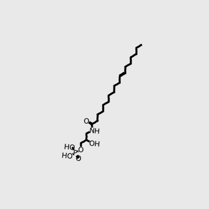 CCCCCC/C=C/CCCCCCCCCC(=O)NCC(O)COP(=O)(O)O